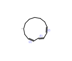 [CH]1C\C=C/C=C/C=C\CCCCC1